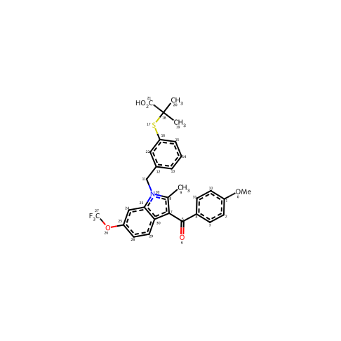 COc1ccc(C(=O)c2c(C)n(Cc3cccc(SC(C)(C)C(=O)O)c3)c3cc(OC(F)(F)F)ccc23)cc1